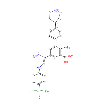 Cc1c(C(=O)O)cc(/C(=C/Nc2ccc(C(F)(F)F)cc2)N=N)cc1-c1ccc(C2CCNCC2)cc1